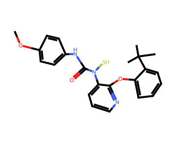 COc1ccc(NC(=O)N(S)c2cccnc2Oc2ccccc2C(C)(C)C)cc1